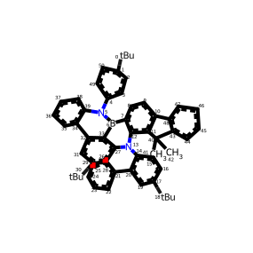 CC(C)(C)c1ccc(N2B3c4ccc5c(c4N(c4ccc(C(C)(C)C)cc4-c4ccccc4)c4cc(C(C)(C)C)cc(c43)-c3ccccc32)C(C)(C)c2ccccc2-5)cc1